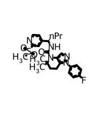 CCC[C@H](NC(=O)N1c2cnn(-c3ccc(F)cc3)c2CCC1(C)C)c1ccnc(S(C)(=O)=O)c1